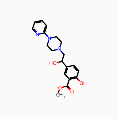 COC(=O)c1cc(C(O)CN2CCN(c3ccccn3)CC2)ccc1O